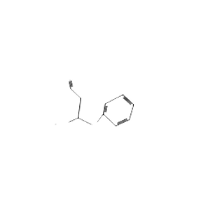 C=CCC(Oc1ccccc1)C(=O)O